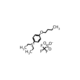 CCCCOc1ccc([S+](CC)CC)cc1.O=S(=O)([O-])C(F)(F)F